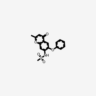 Cc1cc(=O)c2cc(Oc3ccccc3)c(NS(C)(=O)=O)cc2o1